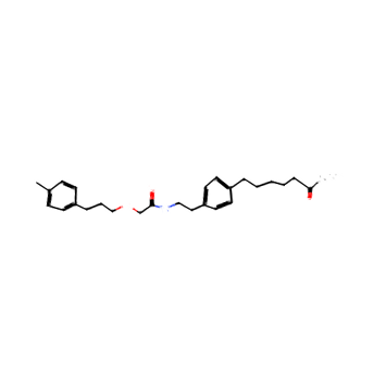 CNC(=O)CCCCCc1ccc(CCNC(=O)COCCCc2ccc(C)cc2)cc1